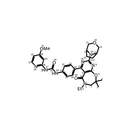 CCN1CC(C)(C)Oc2nc(N3C4CCC3COC4)nc(-c3ccc(NC(=O)Nc4cc(OC)ccn4)cc3)c2C1=O